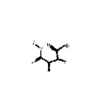 CC(C)OC(=O)C(C)C(C)C(=O)C(C)C